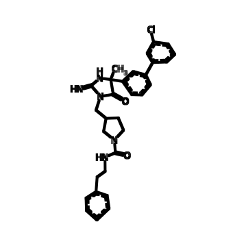 CC1(c2cccc(-c3cccc(Cl)c3)c2)NC(=N)N(CC2CCN(C(=O)NCCc3ccccc3)C2)C1=O